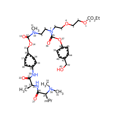 CCOC(=O)OCCOCCN(CCN(C)C(=O)OCc1ccc(NC(=O)[C@H](C)NC(=O)[C@H](C(C)C)N(C)C)cc1)C(=O)Oc1ccc(CO)cc1